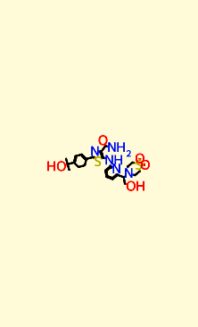 CC(C)(O)C1=CC=C(c2nc(C(N)=O)c(Nc3cccc(C(CO)N4CCS(=O)(=O)CC4)n3)s2)CC1